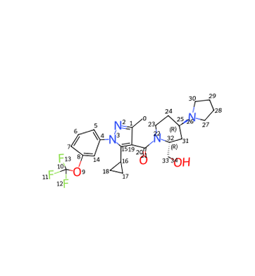 Cc1nn(-c2cccc(OC(F)(F)F)c2)c(C2CC2)c1C(=O)N1CC[C@@H](N2CCCC2)C[C@@H]1CO